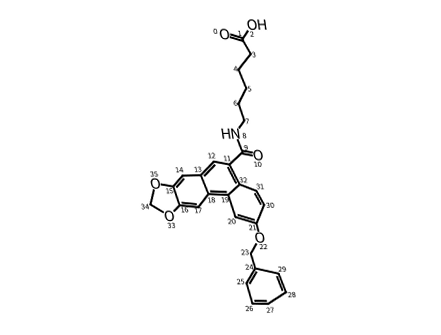 O=C(O)CCCCCNC(=O)c1cc2cc3c(cc2c2cc(OCc4ccccc4)ccc12)OCO3